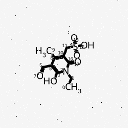 CCn1c(O)c(C=O)c(C)c(CS(=O)(=O)O)c1=O